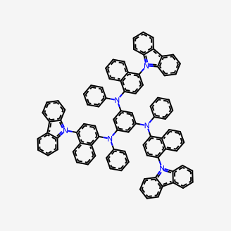 c1ccc(N(c2cc(N(c3ccccc3)c3ccc(-n4c5ccccc5c5ccccc54)c4ccccc34)cc(N(c3ccccc3)c3ccc(-n4c5ccccc5c5ccccc54)c4ccccc34)c2)c2ccc(-n3c4ccccc4c4ccccc43)c3ccccc23)cc1